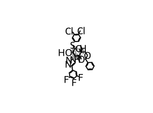 O[C@@H]1[C@@H](n2cc(-c3cc(F)c(F)c(F)c3)nn2)[C@H]2OC(c3ccccc3)OC[C@H]2O[C@@H]1Sc1ccc(Cl)c(Cl)c1